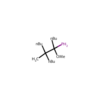 CCCCC(C)(CCCC)C(P)(CCCC)OC